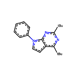 CC(C)(C)c1nc(C(C)(C)C)c2ccn(-c3ccccc3)c2n1